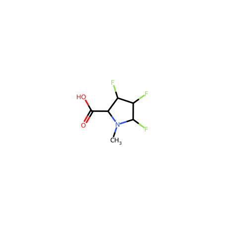 CN1C(F)C(F)C(F)C1C(=O)O